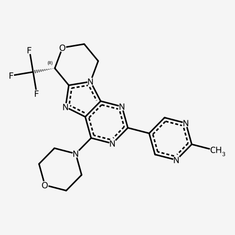 Cc1ncc(-c2nc(N3CCOCC3)c3nc4n(c3n2)CCO[C@H]4C(F)(F)F)cn1